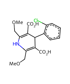 COCC1=C(C(=O)O)C(c2ccccc2Cl)C(C(=O)O)=C(COC)N1